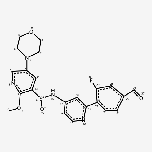 COc1ncc(N2CCOCC2)cc1[S+]([O-])Nc1ccnc(-c2ccc(C=O)cc2F)c1